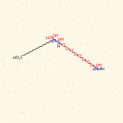 CCCCNC(O)CCOCCOCCOCCOCCOCCOCCOCCOCCN[C@@H](O)CCC(NCCCCCCCCCCCCCCCCCC(=O)O)C(O)O